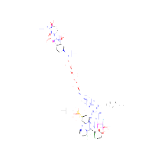 COc1nc(Nc2cc(S(C)(=O)=O)ccc2N[C@@H](c2cccc3c2OC(F)(F)O3)c2ncccc2Cl)nc(N2CCN(CCOCCOCCOCCNc3ccc4c(c3)C(=O)N(C3CCC(=O)NC3=O)C4=O)CC2)n1